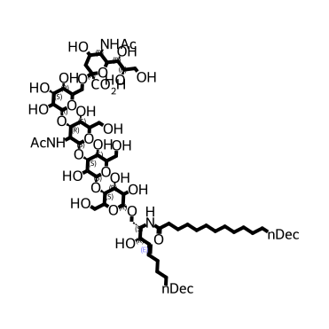 CCCCCCCCCCCCC/C=C/[C@@H](O)[C@H](CO[C@@H]1OC(CO)[C@@H](O[C@@H]2OC(CO)[C@H](O)[C@H](O[C@@H]3OC(CO)[C@@H](O)[C@H](O[C@@H]4OC(CO[C@]5(C(=O)O)CC(O)[C@@H](NC(C)=O)C([C@H](O)[C@H](O)CO)O5)[C@H](O)[C@H](O)C4O)C3NC(C)=O)C2O)[C@H](O)C1O)NC(=O)CCCCCCCCCCCCCCCCCCCCC